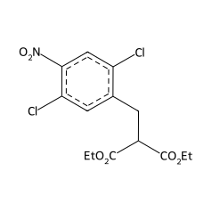 CCOC(=O)C(Cc1cc(Cl)c([N+](=O)[O-])cc1Cl)C(=O)OCC